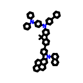 CC1(C)c2cc(-c3ccc4c5c6ccc7cccc8ccc(cc5n(-c5cccc9ccccc59)c4c3)c6c87)ccc2-c2ccc(N(c3ccc(-c4ccccc4)cc3)c3ccc(N(c4ccccc4)c4ccccc4)cc3)cc21